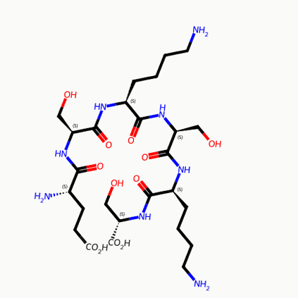 NCCCC[C@H](NC(=O)[C@H](CO)NC(=O)[C@H](CCCCN)NC(=O)[C@H](CO)NC(=O)[C@@H](N)CCC(=O)O)C(=O)N[C@@H](CO)C(=O)O